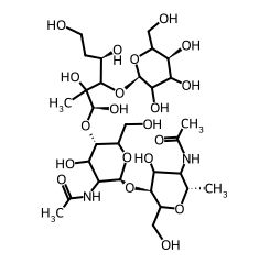 CC(=O)NC1C(O)[C@H](O[C@H](O)C(C)(O)C(O[C@H]2OC(CO)[C@@H](O)C(O)C2O)[C@H](O)CCO)C(CO)O[C@H]1O[C@@H]1C(CO)O[C@@H](C)C(NC(C)=O)C1O